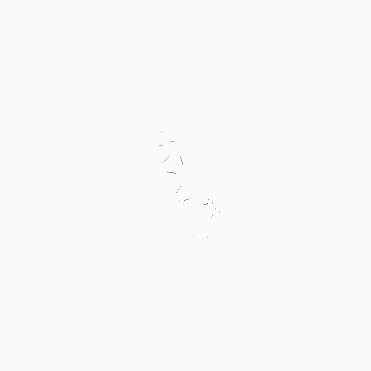 CCC(NS(=O)(=O)c1ccc(-c2sc(-c3nnc(CC(C)(C)C(=O)O)o3)nc2CC2CCC2)c(Cl)c1)C(F)(F)F